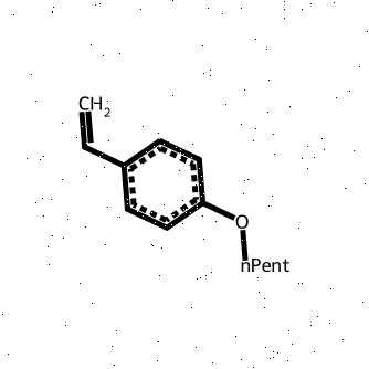 C=Cc1ccc(OCCCCC)cc1